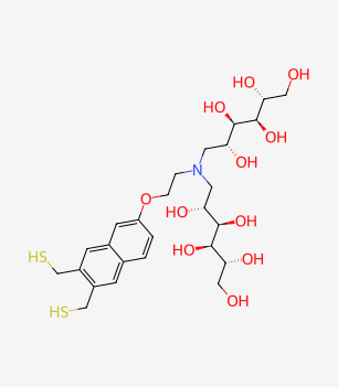 OC[C@@H](O)[C@@H](O)[C@H](O)[C@H](O)CN(CCOc1ccc2cc(CS)c(CS)cc2c1)C[C@@H](O)[C@@H](O)[C@H](O)[C@H](O)CO